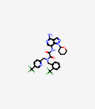 Nc1ncc(NC(=O)C(=O)N(Cc2ccc(C(F)(F)F)cn2)Cc2ccccc2C(F)(F)F)c2c1cnn2C1CCCCO1